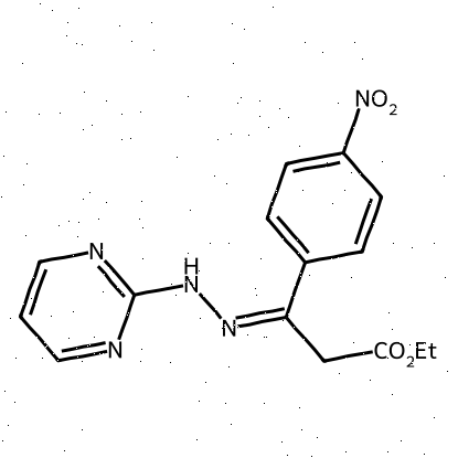 CCOC(=O)CC(=NNc1ncccn1)c1ccc([N+](=O)[O-])cc1